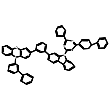 C1=CC(c2ccccc2)CC=C1c1nc(-c2ccccc2)nc(-n2c3ccccc3c3ccc(-c4cccc(-c5ccc6c(c5)Oc5ccccc5N6c5cccc(-c6ccccc6)c5)c4)cc32)n1